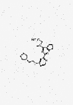 CN(CC(=O)O)c1nc(-c2cc(OCCN3CCCC3)ccn2)nc2c1CCC2